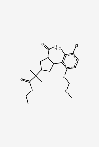 CCOC(=O)C(C)(C)C1CC(c2c(OCOC)ccc(Cl)c2Cl)N(C(=O)O)C1